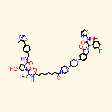 Cc1ncsc1-c1ccc(CNC(=O)[C@@H]2C[C@@H](O)CN2C(=O)[C@@H](NC(=O)CCCCCCC(=O)N2CCN(C3CCN(c4ccc5c(c4)C(=O)N(C(C(=O)Nc4nccs4)c4cc(F)ccc4O)C5)CC3)CC2)C(C)(C)C)cc1